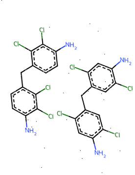 Nc1cc(Cl)c(Cc2cc(Cl)c(N)cc2Cl)cc1Cl.Nc1ccc(Cc2ccc(N)c(Cl)c2Cl)c(Cl)c1Cl